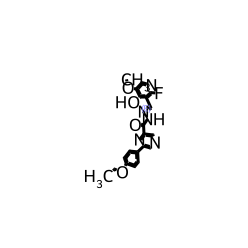 CCOc1ccc(-c2cncc(C(=O)N/N=C/c3c(F)ncc(OC)c3O)n2)cc1